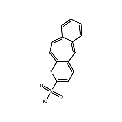 O=S(=O)(O)C1=CC=C2C=c3ccccc3=CC=C2S1